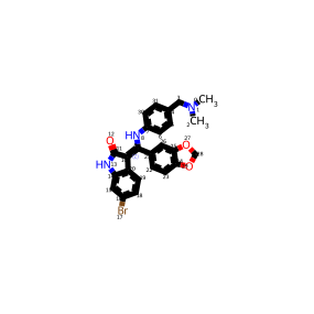 CN(C)Cc1ccc(N/C(=C2\C(=O)Nc3cc(Br)ccc32)c2ccc3c(c2)OCO3)cc1